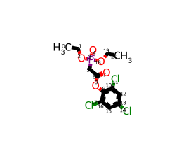 CCOP(=O)(CC(=O)Oc1c(Cl)cc(Cl)cc1Cl)OCC